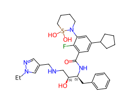 CCn1cc(CNC[C@H](O)[C@H](Cc2ccccc2)NC(=O)c2cc(C3CCCC3)cc(N3CCCCS3(O)O)c2F)cn1